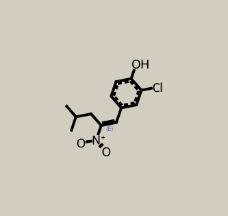 CC(C)C/C(=C\c1ccc(O)c(Cl)c1)[N+](=O)[O-]